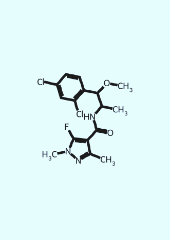 COC(c1ccc(Cl)cc1Cl)C(C)NC(=O)c1c(C)nn(C)c1F